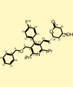 CC(C)c1nc(C(C)C)c(COCc2ccccc2)c(-c2ccc(F)cc2)c1C=C[C@H]1C[C@H](O)CC(=O)O1